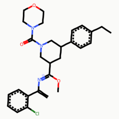 C=C(/N=C(\OC)C1CC(c2ccc(CC)cc2)CN(C(=O)N2CCOCC2)C1)c1ccccc1Cl